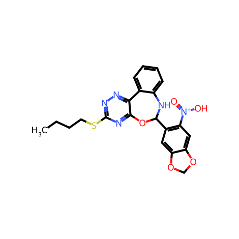 CCCCSc1nnc2c(n1)OC(c1cc3c(cc1[N+](=O)O)OCO3)Nc1ccccc1-2